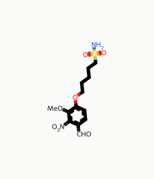 COc1c(OCCCCCS(N)(=O)=O)ccc(C=O)c1[N+](=O)[O-]